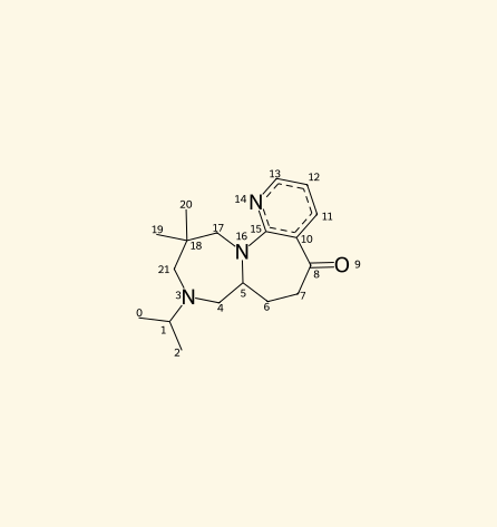 CC(C)N1CC2CCC(=O)c3cccnc3N2CC(C)(C)C1